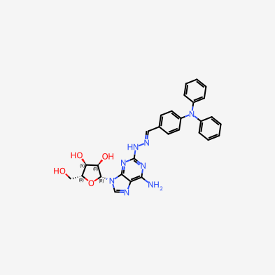 Nc1nc(NN=Cc2ccc(N(c3ccccc3)c3ccccc3)cc2)nc2c1ncn2[C@@H]1O[C@H](CO)[C@@H](O)[C@H]1O